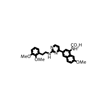 COc1ccc2cc(-c3ccnc(NCCc4cccc(OC)c4OC)n3)cc(NC(=O)O)c2c1